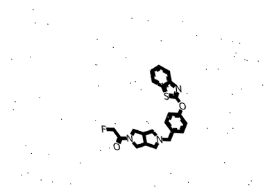 O=C(CF)N1CC2CN(Cc3ccc(Oc4nc5ccccc5s4)cc3)CC2C1